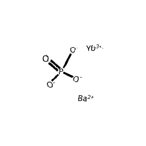 O=P([O-])([O-])[O-].[Ba+2].[Yb+3]